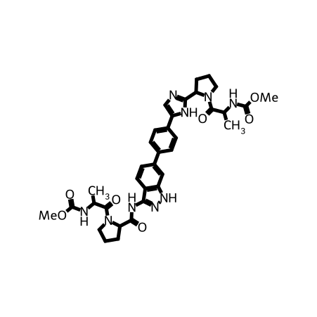 COC(=O)NC(C)C(=O)N1CCCC1C(=O)Nc1n[nH]c2cc(-c3ccc(-c4cnc(C5CCCN5C(=O)C(C)NC(=O)OC)[nH]4)cc3)ccc12